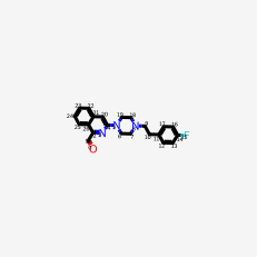 O=Cc1nc(N2CCN(CCc3ccc(F)cc3)CC2)cc2ccccc12